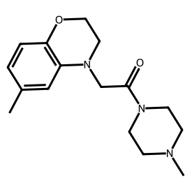 Cc1ccc2c(c1)N(CC(=O)N1CCN(C)CC1)CCO2